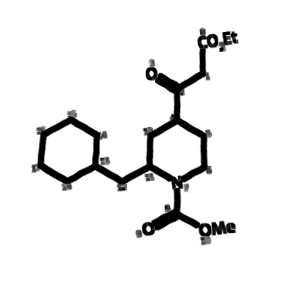 CCOC(=O)CC(=O)C1CCN(C(=O)OC)C(CC2CCCCC2)C1